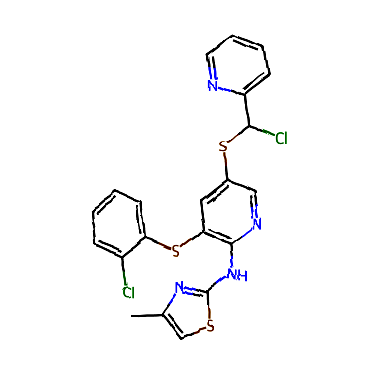 Cc1csc(Nc2ncc(SC(Cl)c3ccccn3)cc2Sc2ccccc2Cl)n1